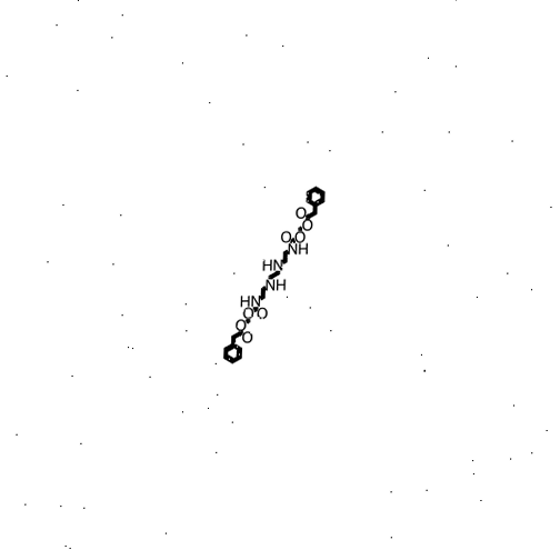 O=C(Cc1ccccc1)OCOC(=O)NCCNCCNCCNC(=O)OCOC(=O)Cc1ccccc1